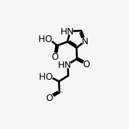 O=[C]C(O)CNC(=O)c1nc[nH]c1C(=O)O